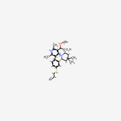 Cc1nc(C)c(C(OC(C)(C)C)C(=O)O)c(N2CCC(C)(C)CC2)c1-c1ccc(SCCC(C)C)cc1